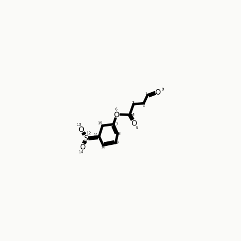 O=CCCC(=O)OC1=CC=CC(=S(=O)=O)C1